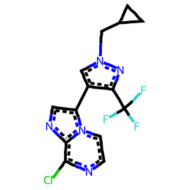 FC(F)(F)c1nn(CC2CC2)cc1-c1cnc2c(Cl)nccn12